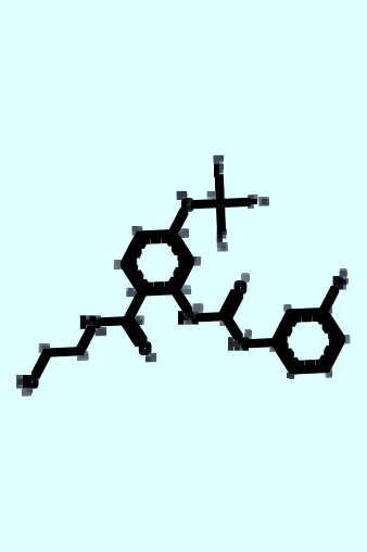 O=C(Nc1cccc(Br)c1)Nc1cc(OC(F)(F)F)ccc1C(=O)NCCO